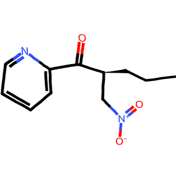 CCC[C@@H](C[N+](=O)[O-])C(=O)c1ccccn1